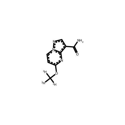 [2H]C([2H])([2H])Oc1ccn2ncc(C(N)=O)c2n1